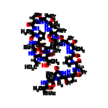 CC[C@H](C)[C@H](NC(=O)[C@@H]1CCCN1C(=O)[C@H](C)NC(=O)[C@H](CC(C)C)NC(=O)[C@H](CC(C)C)NC(=O)[C@H](C)NC(=O)[C@H](CC(C)C)NC(=O)[C@H](CC(C)C)NC(=O)[C@@H](NC(=O)[C@H](C)NC(=O)[C@@H]1CCCN1C(=O)[C@H](CC(C)C)NC(=O)[C@H](CC(C)C)NC(=O)[C@H](C)NC(=O)[C@@H](NC(=O)[C@H](C)NC(=O)[C@H](C)NC(C)=O)C(C)C)C(C)C)C(=O)N[C@@H](CCC(=O)O)C(=O)N[C@H](C(=O)N[C@H](C=O)CC(=O)O)[C@@H](C)O